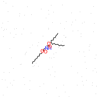 CCCCCCCCCOC(=O)CNCC(=O)OC(CCCCCCC)CCCCCCCC